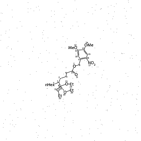 CCCCCCC(CCCC(=O)OCc1cc(OC)c(OC)cc1[N+](=O)[O-])[Si](OCC)(OCC)OCC